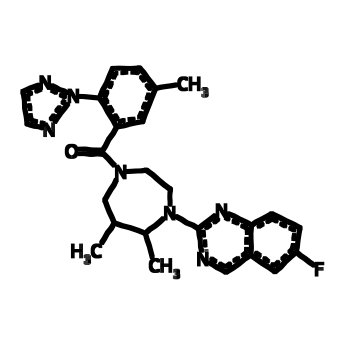 Cc1ccc(-n2nccn2)c(C(=O)N2CCN(c3ncc4cc(F)ccc4n3)C(C)C(C)C2)c1